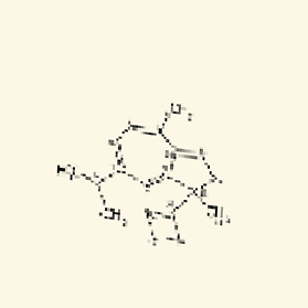 CC1=CC=C(C(C)C)C=C2C1=CCC2(C)C1=CCC1